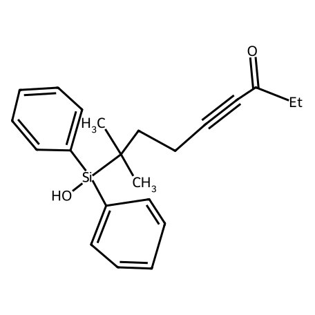 CCC(=O)C#CCCC(C)(C)[Si](O)(c1ccccc1)c1ccccc1